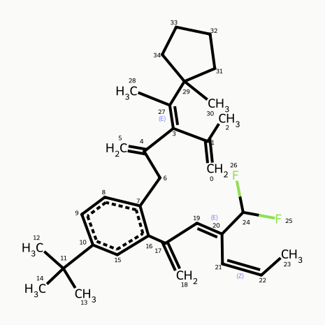 C=C(C)/C(C(=C)Cc1ccc(C(C)(C)C)cc1C(=C)/C=C(\C=C/C)C(F)F)=C(/C)C1(C)CCCC1